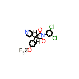 O=C1[C@@H]2[C@H](C(=O)N1c1cc(Cl)cc(Cl)c1)C2(c1ccncc1)c1ccc(OC(F)(F)F)cc1